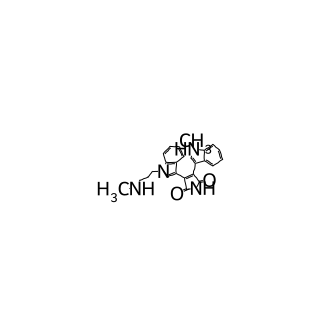 CNCCCn1cc(C2=C(c3c[nH]c4ccccc34)C(=O)NC2=O)c2cc(C)ccc21